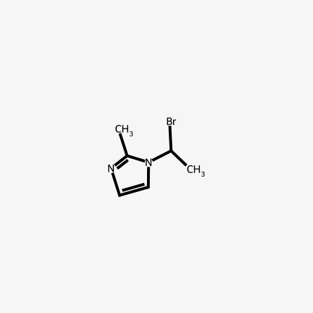 Cc1nccn1C(C)Br